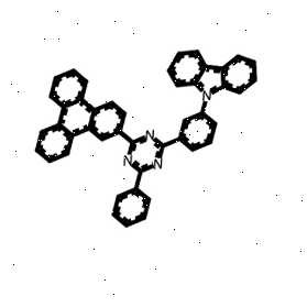 c1ccc(-c2nc(-c3cccc(-n4c5ccccc5c5ccccc54)c3)nc(-c3ccc4c5ccccc5c5ccccc5c4c3)n2)cc1